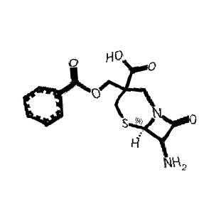 NC1C(=O)N2CC(COC(=O)c3ccccc3)(C(=O)O)CS[C@H]12